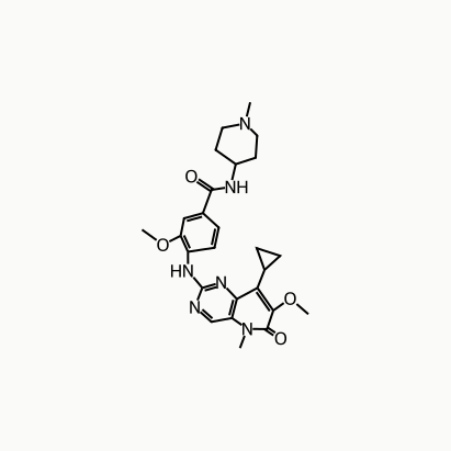 COc1cc(C(=O)NC2CCN(C)CC2)ccc1Nc1ncc2c(n1)c(C1CC1)c(OC)c(=O)n2C